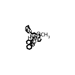 C[C@H](Oc1cc(N2CCN3CCC3C2)nc(-c2onc3c2CCC[C@@]32CCCCC2=O)n1)[C@@H]1CCCN1C